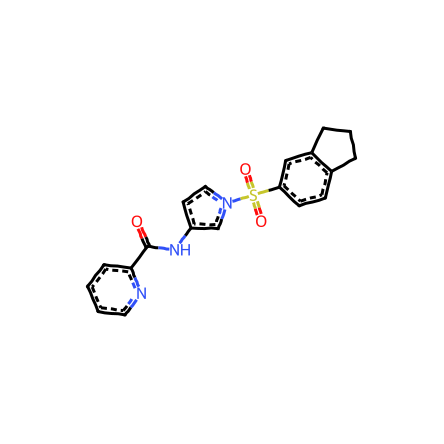 O=C(Nc1ccn(S(=O)(=O)c2ccc3c(c2)CCC3)c1)c1ccccn1